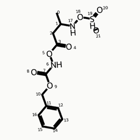 CC(CC(=O)ONC(=O)OCc1ccccc1)NO[SH](=O)=O